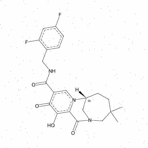 CC1(C)CC[C@@H]2CN(C1)C(=O)c1c(O)c(=O)c(C(=O)NCc3ccc(F)cc3F)cn12